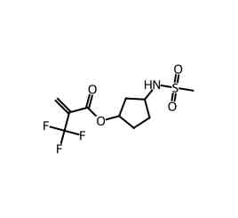 C=C(C(=O)OC1CCC(NS(C)(=O)=O)C1)C(F)(F)F